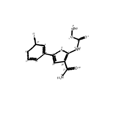 CC(C)(C)OC(=O)Nc1sc(C2=CC(I)CC=C2)cc1C(N)=O